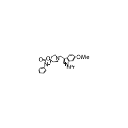 CCCn1cc(CN2CCC3(CC2)CN(c2ccccc2)C(=O)O3)c2ccc(OC)cc21